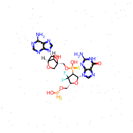 Nc1nc2c(ncn2[C@@H]2O[C@H](CO[PH](O)=S)C(F)(F)[C@H]2P(O)(=S)OC[C@@]23CO[C@@H]([C@H](n4cnc5c(N)ncnc54)O2)[C@@H]3O)c(=O)[nH]1